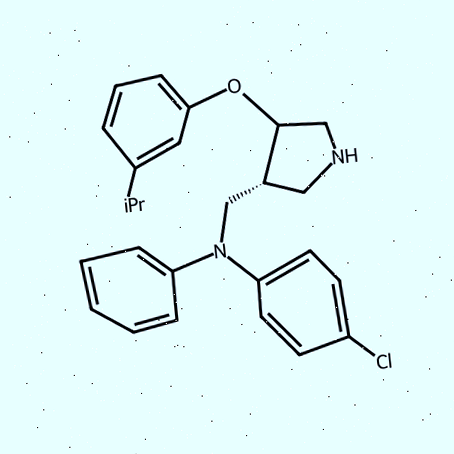 CC(C)c1cccc(OC2CNC[C@@H]2CN(c2ccccc2)c2ccc(Cl)cc2)c1